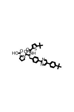 CC(C)(C)c1ccc(-c2cnc(-c3ccc(C[C@H](NC(=O)c4ccc(C(C)(C)C)s4)C(O)N4CCC[C@@H]4C(=O)O)cc3)nc2)cc1